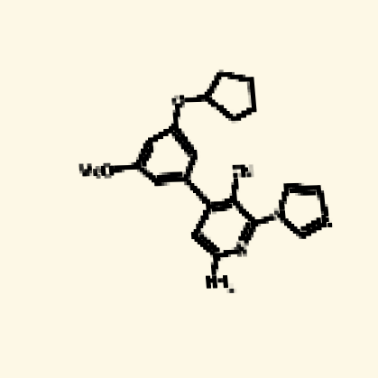 COc1cc(OC2CCCC2)cc(-c2cc(N)nc(-n3ccnc3)c2C#N)c1